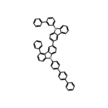 c1ccc(-c2ccc(-c3ccc(-n4c5ccc(-c6ccc7c(c6)c6ccccc6n7-c6cccc(-c7ccccc7)c6)cc5c5c(-c6ccccc6)cccc54)cc3)cc2)cc1